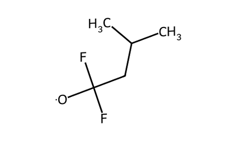 CC(C)CC([O])(F)F